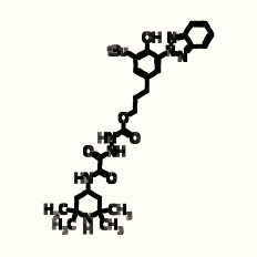 CC1(C)CC(NC(=O)C(=O)NNC(=O)OCCCc2cc(-n3nc4ccccc4n3)c(O)c(C(C)(C)C)c2)CC(C)(C)N1